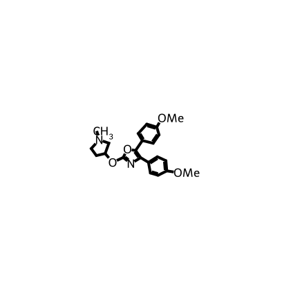 COc1ccc(-c2nc(OC3CCN(C)C3)oc2-c2ccc(OC)cc2)cc1